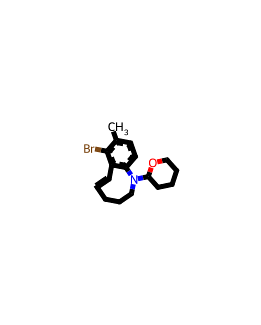 Cc1ccc2c(c1Br)/C=C/CCCN2C1CCCCO1